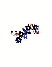 CNC(=O)c1cc(Oc2ccc3c(c2)nc(Nc2ccc(OC(F)(F)F)c(-c4cccnc4)c2)n3C)ccn1